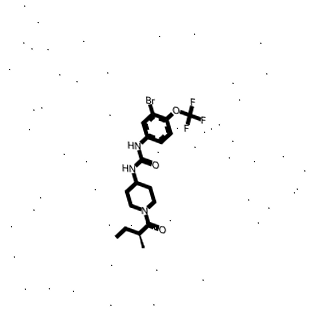 CC[C@H](C)C(=O)N1CCC(NC(=O)Nc2ccc(OC(F)(F)F)c(Br)c2)CC1